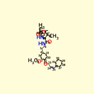 COc1cc(CCNC(=O)[C@@H](NS(C)(=O)=O)C(C)C)ccc1OC/C=C\c1ccccc1